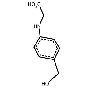 O=C(O)CNc1ccc(CO)cc1